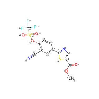 COC(=O)c1cnc(-c2ccc(OS(=O)(=O)C(F)(F)F)c(C#N)c2)s1